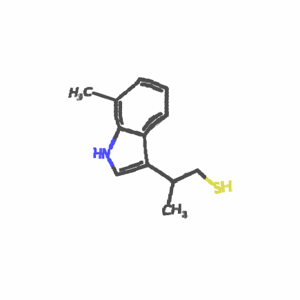 Cc1cccc2c(C(C)CS)c[nH]c12